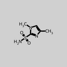 Cc1cn(C)c(S(N)(=O)=O)n1